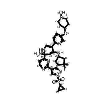 CN1CCC(Oc2ccc(C3=CNC(N)(c4ccnc(-c5cnn(S(=O)(=O)C6CC6)c5)n4)C=C3NC3CCC(F)(F)C3)nc2)CC1